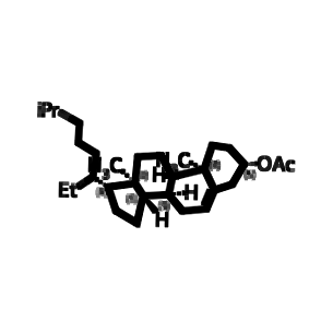 CCC(CCCC(C)C)[C@H]1CC[C@H]2[C@@H]3CC=C4C[C@@H](OC(C)=O)CC[C@]4(C)[C@H]3CC[C@]12C